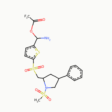 CS(=O)(=O)N1CC(c2ccccc2)CC1CS(=O)(=O)c1ccc(C(N)OC(=O)C(F)(F)F)s1